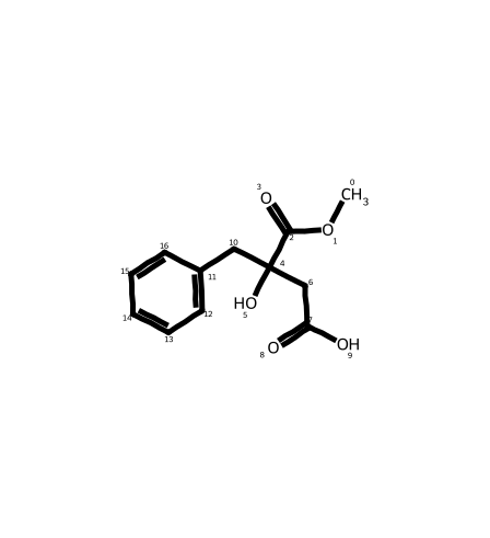 COC(=O)C(O)(CC(=O)O)Cc1ccccc1